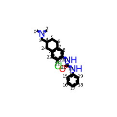 CN(C)CC1CCc2cc(NC(=O)Nc3ccccc3)c(Cl)cc2C1